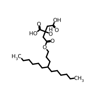 CCCCCCC(CCCCCC)CCCOC(=O)CC(O)(CC(=O)O)C(=O)O